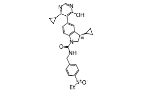 CC[S+]([O-])c1ccc(CNC(=O)N2C[C@H](C3CC3)c3cc(-c4c(O)ncnc4C4CC4)ccc32)cc1